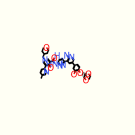 COc1cc(-c2cnc(N)c(-c3ccc(NC(=O)c4cn(CC5CCOCC5)cc(-c5ccc(C)cn5)c4=O)nn3)c2)ccc1OC[C@H]1COCCO1